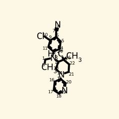 CCN(c1ccc(C#N)c(Cl)c1)C1CN(c2cccnc2)CCC1(C)C